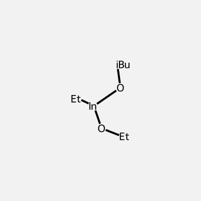 CC[O][In]([CH2]C)[O]C(C)CC